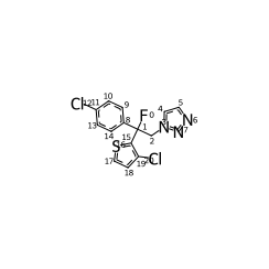 FC(Cn1ccnn1)(c1ccc(Cl)cc1)c1sccc1Cl